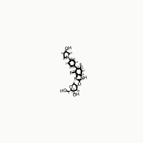 OC[C@H]1OC[C@H](Oc2nc3c(F)c(-c4ccc(N5CC[C@@H](O)C5)cc4)c(F)cc3[nH]2)C[C@@H]1O